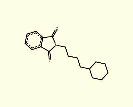 O=C1c2ccccc2C(=O)N1CCCC[C]1CCCCC1